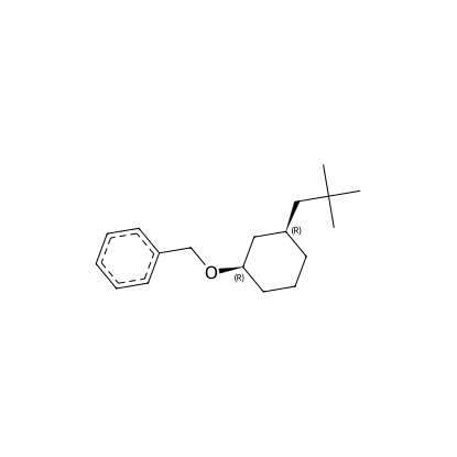 CC(C)(C)C[C@H]1CCC[C@@H](OCc2ccccc2)C1